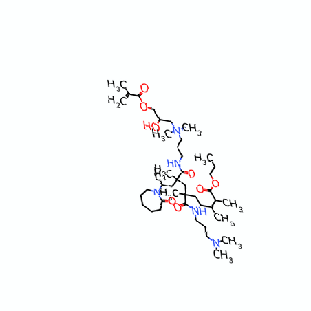 C=C(C)C(=O)OCC(O)C[N+](C)(C)CCCNC(=O)C(C)(CC(C)N1CCCCCC1=O)CC(C)(CCC(C)C(C)C(=O)OCCC)C(=O)NCCCN(C)C